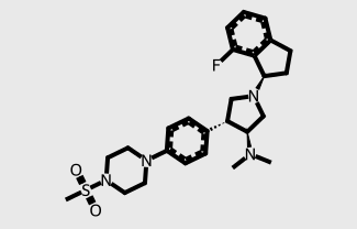 CN(C)[C@@H]1CN([C@@H]2CCc3cccc(F)c32)C[C@H]1c1ccc(N2CCN(S(C)(=O)=O)CC2)cc1